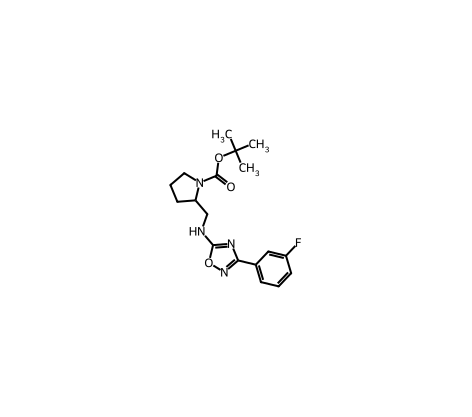 CC(C)(C)OC(=O)N1CCCC1CNc1nc(-c2cccc(F)c2)no1